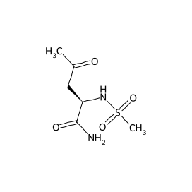 CC(=O)C[C@@H](NS(C)(=O)=O)C(N)=O